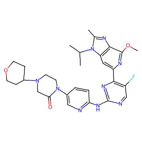 COc1nc(-c2nc(Nc3ccc(N4CCN(C5CCOCC5)CC4=O)cn3)ncc2F)cc2c1nc(C)n2C(C)C